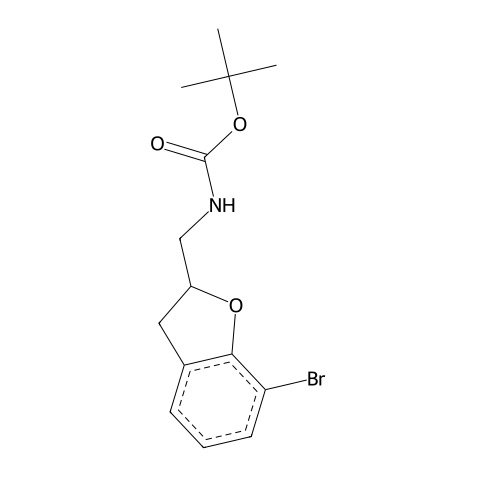 CC(C)(C)OC(=O)NCC1Cc2cccc(Br)c2O1